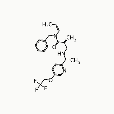 C=C(CN[C@H](C)c1ccc(OCC(F)(F)F)cn1)C(=O)N(/C=C\C)Cc1ccccc1